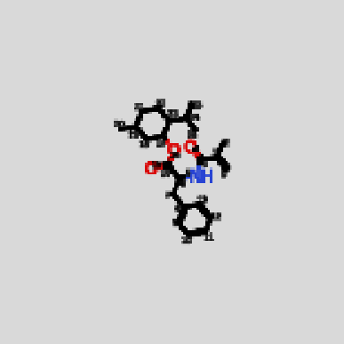 C=C(C)C(=O)N[C@@H](Cc1ccccc1)C(=O)OC1CC(C)CCC1C(C)C